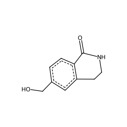 O=C1NCCc2cc(CO)ccc21